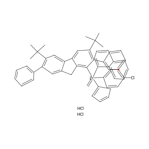 Cl.Cl.[CH2]=[Zr]([C]1=CC=CC1)([c]1ccc(Cl)cc1)([c]1c2c(cc(C(C)(C)C)c1-c1ccccc1)-c1cc(C(C)(C)C)c(-c3ccccc3)cc1C2)[c]1cccc2ccccc12